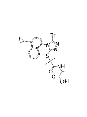 CC(NC(=O)C(C)(C)Sc1nnc(Br)n1-c1ccc(C2CC2)c2ccccc12)C(=O)O